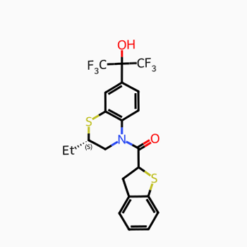 CC[C@H]1CN(C(=O)C2Cc3ccccc3S2)c2ccc(C(O)(C(F)(F)F)C(F)(F)F)cc2S1